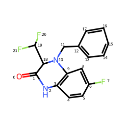 O=C1Nc2ccc(F)cc2N(Cc2ccccc2)C1C(F)F